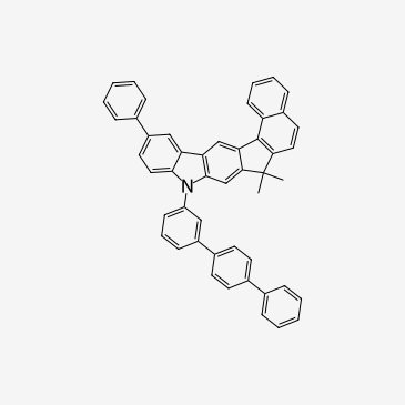 CC1(C)c2cc3c(cc2-c2c1ccc1ccccc21)c1cc(-c2ccccc2)ccc1n3-c1cccc(-c2ccc(-c3ccccc3)cc2)c1